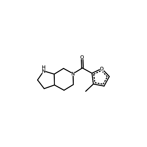 Cc1ccoc1C(=O)N1CCC2CCNC2C1